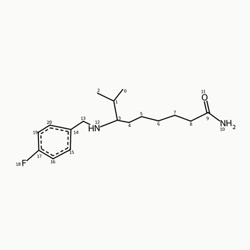 CC(C)C(CCCCCC(N)=O)NCc1ccc(F)cc1